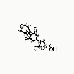 O=C1O[C@@H](CO)CN1c1cc(F)c(N2C3CCC2COC3)c(F)c1